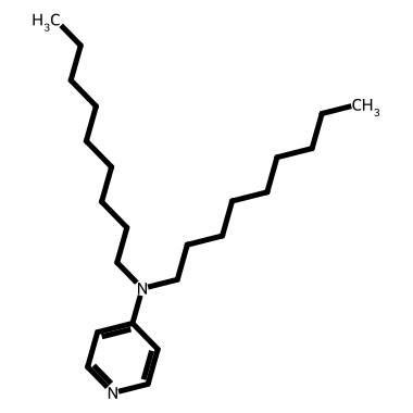 CCCCCCCCCN(CCCCCCCCC)c1ccncc1